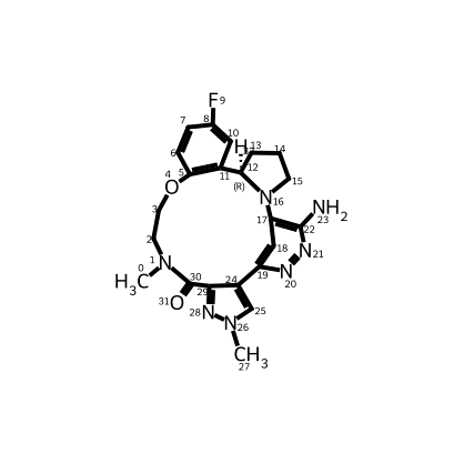 CN1CCOc2ccc(F)cc2[C@H]2CCCN2c2cc(nnc2N)-c2cn(C)nc2C1=O